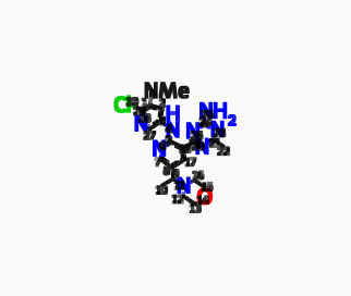 CNc1cc(Nc2ncc(C(C)N3CCOCC3)cc2-c2nc(C)nc(N)n2)cnc1Cl